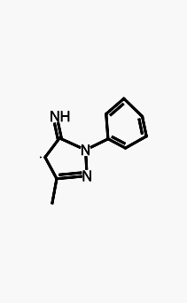 CC1=NN(c2ccccc2)C(=N)[CH]1